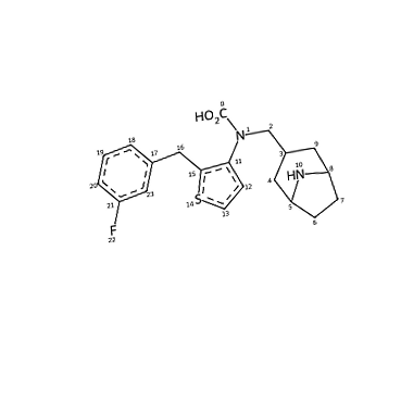 O=C(O)N(CC1CC2CCC(C1)N2)c1ccsc1Cc1cccc(F)c1